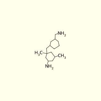 CC1CC(N)CC(C)(CC2CCCC(CN)C2)C1